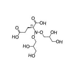 O=C(O)CC[C@@H](C(=O)O)N(OCC(O)CO)OCC(O)CO